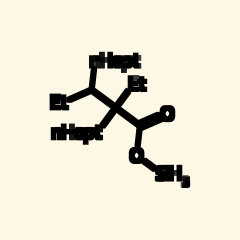 CCCCCCCC(CC)C(CC)(CCCCCCC)C(=O)O[SiH3]